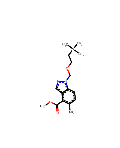 COC(=O)c1c(C)ccc2c1cnn2COCC[Si](C)(C)C